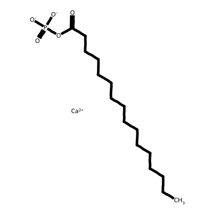 CCCCCCCCCCCCCCCC(=O)OP(=O)([O-])[O-].[Ca+2]